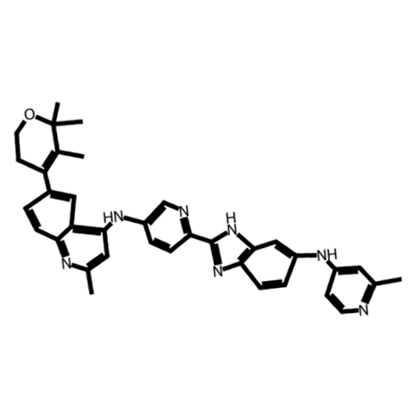 CC1=C(c2ccc3nc(C)cc(Nc4ccc(-c5nc6ccc(Nc7ccnc(C)c7)cc6[nH]5)nc4)c3c2)CCOC1(C)C